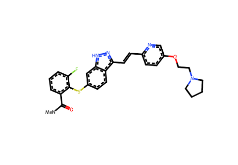 CNC(=O)c1cccc(F)c1Sc1ccc2c(/C=C/c3ccc(OCCN4CCCC4)cn3)n[nH]c2c1